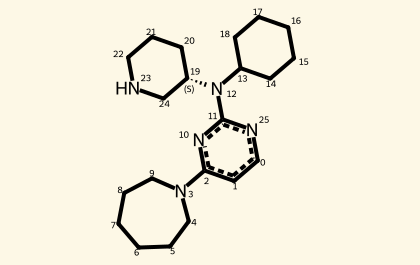 c1cc(N2CCCCCC2)nc(N(C2CCCCC2)[C@H]2CCCNC2)n1